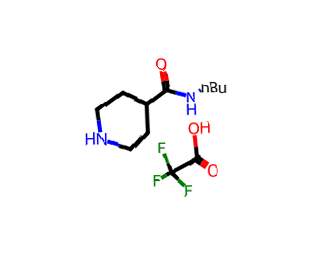 CCCCNC(=O)C1CCNCC1.O=C(O)C(F)(F)F